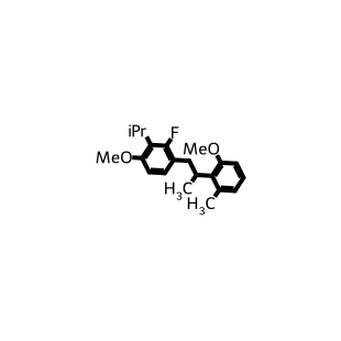 COc1ccc(CC(C)c2c(C)cccc2OC)c(F)c1C(C)C